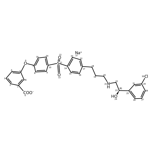 O=C([O-])c1cccc(Oc2ccc(S(=O)(=O)c3ccc(CCCNC[C@H](O)c4cccc(Cl)c4)cc3)cc2)c1.[Na+]